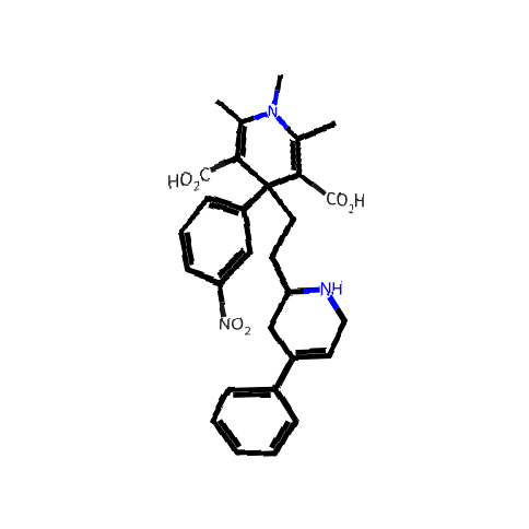 CC1=C(C(=O)O)C(CCC2CC(c3ccccc3)=CCN2)(c2cccc([N+](=O)[O-])c2)C(C(=O)O)=C(C)N1C